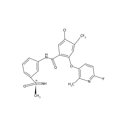 Cc1nc(F)ccc1Oc1cc(C(F)(F)F)c(Cl)cc1C(=O)Nc1cccc([S@](C)(=N)=O)c1